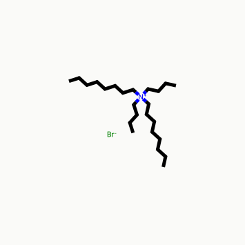 CCCCCCCC[N+](CCCC)(CCCC)CCCCCCCC.[Br-]